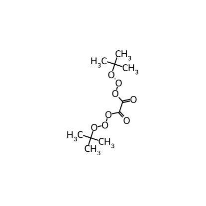 CC(C)(C)OOOC(=O)C(=O)OOOC(C)(C)C